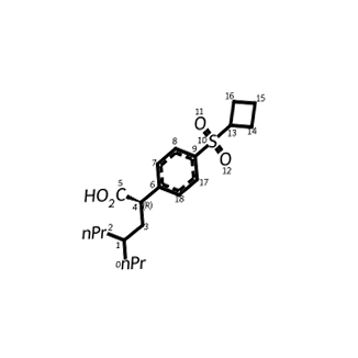 CCCC(CCC)C[C@@H](C(=O)O)c1ccc(S(=O)(=O)C2CCC2)cc1